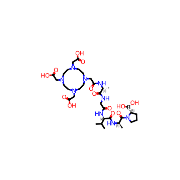 CC(C)[C@H](NC(=O)CNC(=O)[C@@H](C)NC(=O)CN1CCN(CC(=O)O)CCN(CC(=O)O)CCN(CC(=O)O)CC1)C(=O)N[C@H](C)C(=O)N1CCC[C@H]1B(O)O